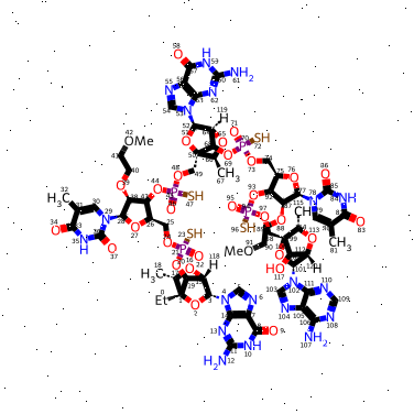 CC[C@@]12O[C@@H](n3cnc4c(=O)[nH]c(N)nc43)[C@@H](O[C@H]1C)C2OP(=O)(S)OC[C@H]1O[C@@H](n2cc(C)c(=O)[nH]c2=O)[C@@H](OCCOC)C1OP(=O)(S)OC[C@@]12O[C@@H](n3cnc4c(=O)[nH]c(N)nc43)[C@@H](O[C@H]1C)C2OP(=O)(S)OC[C@H]1O[C@@H](n2cc(C)c(=O)[nH]c2=O)[C@@H](OCCOC)C1OP(=O)(S)OC[C@@]12O[C@@H](n3cnc4c(N)ncnc43)[C@@H](O[C@H]1C)C2O